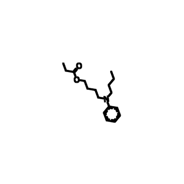 CCCCN(CCCCOC(=O)CC)c1ccccc1